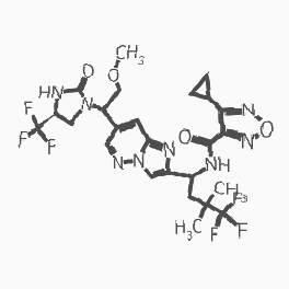 COCC(c1cnn2cc(C(CC(C)(C)C(F)(F)F)NC(=O)c3nonc3C3CC3)nc2c1)N1C[C@@H](C(F)(F)F)NC1=O